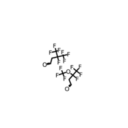 O=CCC(F)(C(F)(F)F)C(F)(F)F.O=CCC(F)(OC(F)(F)F)C(F)(F)F